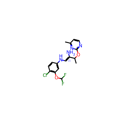 Cc1ccnc(OC(C)/C(N)=C/Nc2ccc(Cl)c(OC(F)F)c2)n1